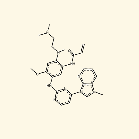 C=CC(=O)Nc1cc(Nc2nccc(-c3cn(C)c4cccnc34)n2)c(OC)cc1N(C)CCN(C)C